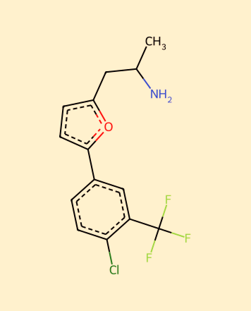 CC(N)Cc1ccc(-c2ccc(Cl)c(C(F)(F)F)c2)o1